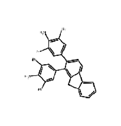 CC(C)c1cc(-c2ccc3c(c2-c2cc(C(C)C)c(N)c(C(C)C)c2)Cc2ccccc2-3)cc(C(C)C)c1N